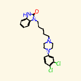 O=c1[nH]c2ccccc2n1CCCCCN1CCN(c2ccc(Cl)c(Cl)c2)CC1